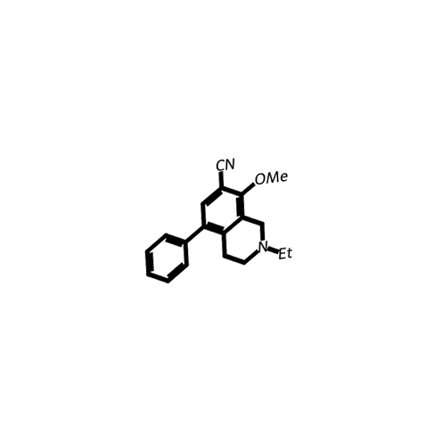 CCN1CCc2c(-c3ccccc3)cc(C#N)c(OC)c2C1